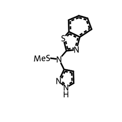 CSN(c1cc[nH]n1)c1nc2ccccc2s1